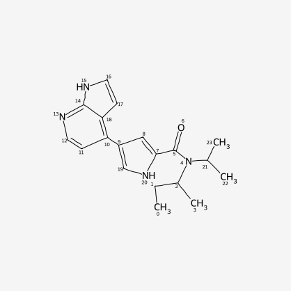 CCC(C)N(C(=O)c1cc(-c2ccnc3[nH]ccc23)c[nH]1)C(C)C